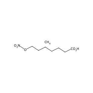 C.O=C(O)CCCCCCO[N+](=O)[O-]